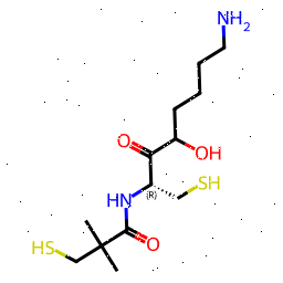 CC(C)(CS)C(=O)N[C@@H](CS)C(=O)C(O)CCCCN